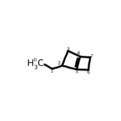 CCC1CC2=C1CC2